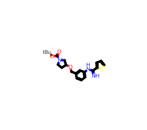 CC(C)(C)OC(=O)N1CCC(OCc2cccc(NC(=N)c3cccs3)c2)C1